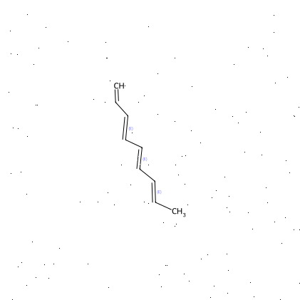 [CH]=C/C=C/C=C/C=C/C